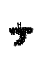 O=C(Cc1cncnc1)N[C@@H](COCc1ccccc1)C(=O)Nc1ccc(Oc2ccc(F)cc2)cc1